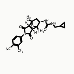 CC12C[C@@H](NC(=O)NCC3CC3)C(C)(O1)[C@@H]1C(=O)N(c3ccc(C#N)c(C(F)(F)F)c3)C(=O)[C@@H]12